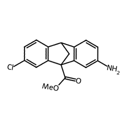 COC(=O)C12CC(c3ccc(N)cc31)c1ccc(Cl)cc12